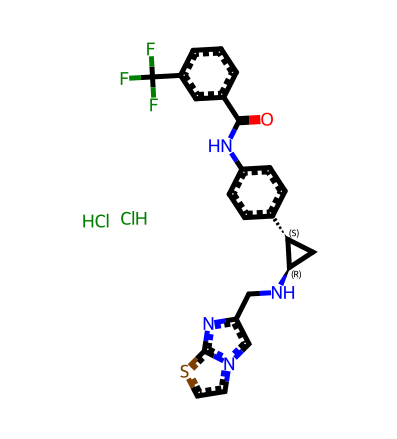 Cl.Cl.O=C(Nc1ccc([C@@H]2C[C@H]2NCc2cn3ccsc3n2)cc1)c1cccc(C(F)(F)F)c1